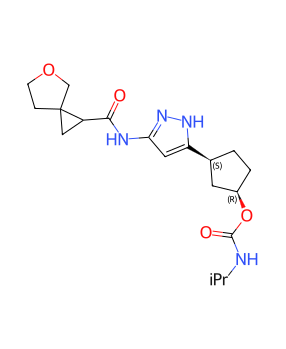 CC(C)NC(=O)O[C@@H]1CC[C@H](c2cc(NC(=O)C3CC34CCOC4)n[nH]2)C1